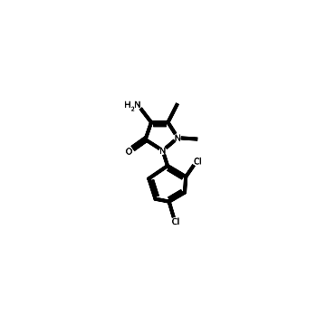 Cc1c(N)c(=O)n(-c2ccc(Cl)cc2Cl)n1C